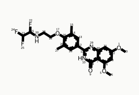 COc1cc(OC)c2c(=O)[nH]c(-c3cc(C)c(OCCNC(F)C(F)F)c(C)c3)nc2c1